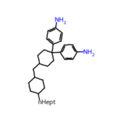 CCCCCCCC1CCC(CC2CCC(c3ccc(N)cc3)(c3ccc(N)cc3)CC2)CC1